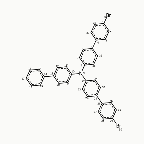 Brc1ccc(-c2ccc(N(c3ccc(-c4ccccc4)cc3)c3ccc(-c4ccc(Br)cc4)cc3)cc2)cc1